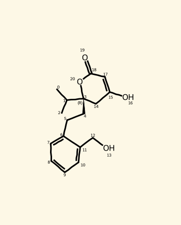 CC(C)[C@@]1(CCc2ccccc2CO)CC(O)=CC(=O)O1